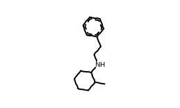 CC1CCCCC1NCCc1ccccc1